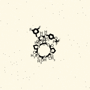 C[C@@H]1NC(=O)[C@H](C)N(C)C(=O)C2CCCN2C(O)[C@@H](NC(=O)[C@H](Cc2cc(F)cc(F)c2)NC(=O)Nc2ccc(OC(F)(F)F)cc2)[C@H](C)OC(=O)C2CCCN2C1=O